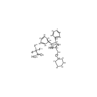 O=C(O)C(F)(F)F.c1ccc([C@H]2N=C(COC3CCCCC3)N[C@H]2c2ccccc2)cc1